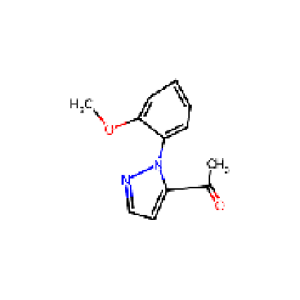 COc1ccccc1-n1nccc1C(C)=O